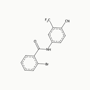 N#Cc1ccc(NC(=O)c2ccccc2Br)cc1C(F)(F)F